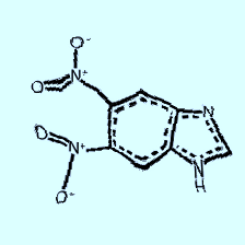 O=[N+]([O-])c1cc2nc[nH]c2cc1[N+](=O)[O-]